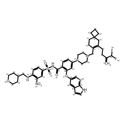 C=C(CCC1=C(CN2CCN(c3ccc(C(=O)NS(=O)(=O)c4ccc(NCC5CCOCC5)c([N+](=O)[O-])c4)c(Oc4cnc5[nH]ccc5c4)c3)CC2)CCC2(CCC2)C1)C(F)F